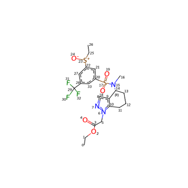 CCOC(=O)Cn1ncc2c1CCC[C@H]2N(C)S(=O)(=O)c1cc([S+]([O-])CC)cc(C(F)(F)F)c1